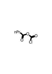 CCCC(=O)OC(=O)Cl